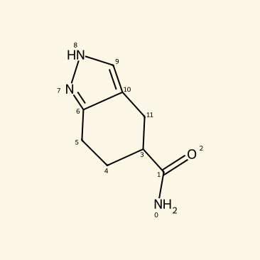 NC(=O)C1CCc2n[nH]cc2C1